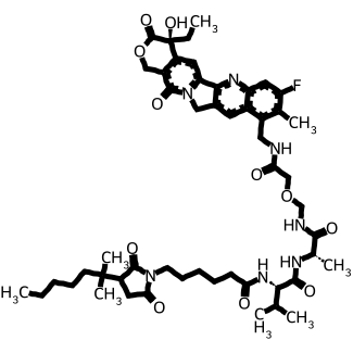 CCCCCC(C)(C)C1CC(=O)N(CCCCCC(=O)N[C@H](C(=O)N[C@@H](C)C(=O)NCOCC(=O)NCc2c(C)c(F)cc3nc4c(cc23)Cn2c-4cc3c(c2=O)COC(=O)[C@]3(O)CC)C(C)C)C1=O